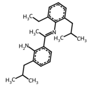 CCc1cccc(CC(C)C)c1N=C(C)c1cccc(CC(C)C)c1N